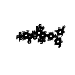 Cc1ccc(N(c2ccc(C)cc2)c2ccc(-c3cc4c(cc(/N=c5\c(=O)c(=O)c6cc(C(F)(F)F)ccc56)c5nsnc54)c4nsnc34)cc2)cc1